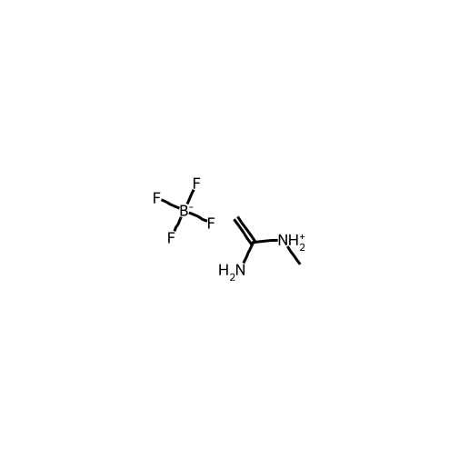 C=C(N)[NH2+]C.F[B-](F)(F)F